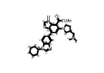 COC(=O)c1c(N2CCC(CN(C)C)C2)cc(-c2ccc3c(c2)ncn3C2CCCCC2)c2nc[nH]c12